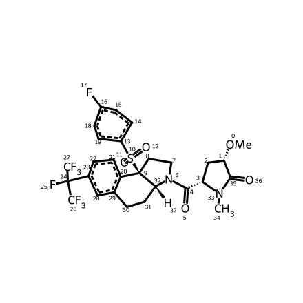 CO[C@H]1C[C@@H](C(=O)N2CC[C@@]3(S(=O)(=O)c4ccc(F)cc4)c4ccc(C(F)(C(F)(F)F)C(F)(F)F)cc4CC[C@@H]23)N(C)C1=O